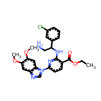 CCOC(=O)c1ccc(-n2cnc3cc(OC)c(OC)cc32)nc1NC(CN)c1cccc(Cl)c1